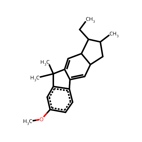 CCC1C(C)CC2C=C3C(=CC21)C(C)(C)c1cc(OC)ccc13